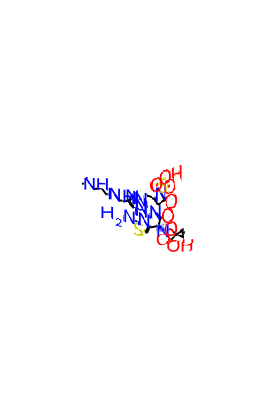 CNCCCNCc1cnn(CC2C(NC(=O)/C(=N\OC3(C(=O)O)CC3)c3csc(N)n3)C(=O)N2S(=O)(=O)O)n1